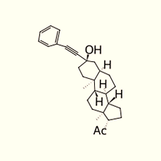 CC(=O)[C@H]1CC[C@H]2[C@@H]3CC[C@@H]4C[C@@](O)(C#Cc5ccccc5)CC[C@]4(C)[C@H]3CC[C@]12C